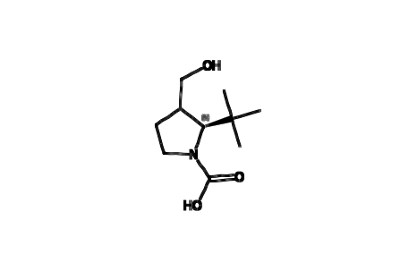 CC(C)(C)[C@@H]1C(CO)CCN1C(=O)O